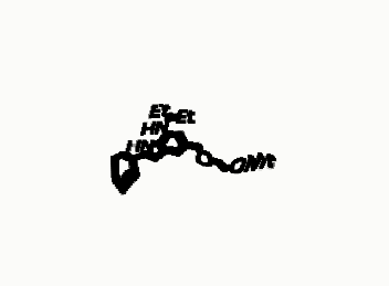 CCC(CC)Nc1cc(COCCOC)cc2cc(-c3ccccc3)[nH]c12